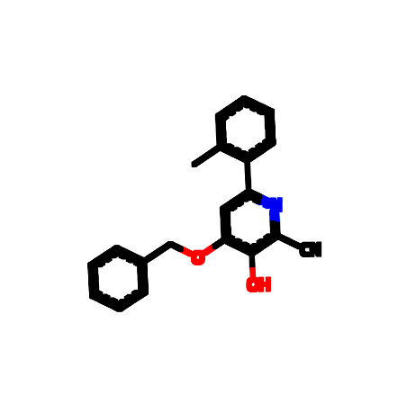 Cc1ccccc1-c1cc(OCc2ccccc2)c(O)c(C#N)n1